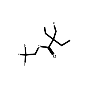 CCC(CC)(CF)C(=O)OCC(F)(F)F